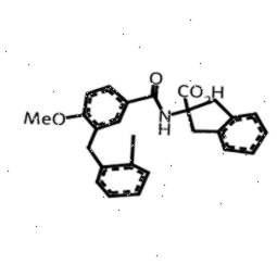 COc1ccc(C(=O)NC2(C(=O)O)Cc3ccccc3C2)cc1Cc1ccccc1C